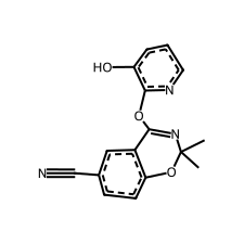 CC1(C)N=C(Oc2ncccc2O)c2cc(C#N)ccc2O1